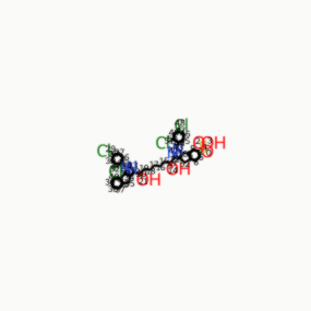 O=S(=O)(O)c1ccc2c(c1)-c1c(c(C(O)CCCCCC(O)c3nn(-c4ccc(Cl)cc4Cl)c4c3Cc3ccccc3-4)nn1-c1ccc(Cl)cc1Cl)C2